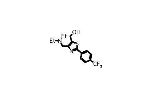 CCN(CC)Cc1nc(-c2ccc(C(F)(F)F)cc2)sc1CO